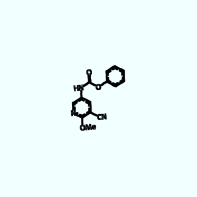 COc1ncc(NC(=O)Oc2ccccc2)cc1C#N